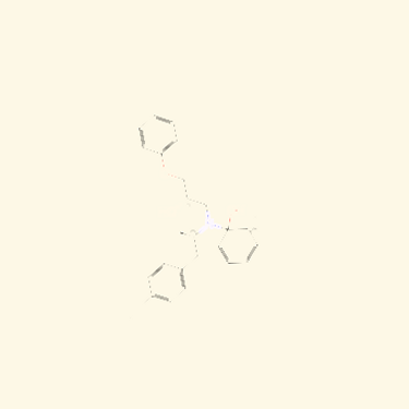 CC[C@@H]1C=CC=CC1(O)N(C[C@H](O)COc1ccccc1)[C@H](C)Cc1ccc(C(=O)O)cc1